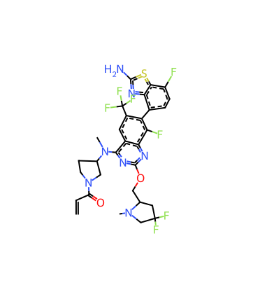 C=CC(=O)N1CCC(N(C)c2nc(OCC3CC(F)(F)CN3C)nc3c(F)c(-c4ccc(F)c5sc(N)nc45)c(C(F)(F)F)cc23)C1